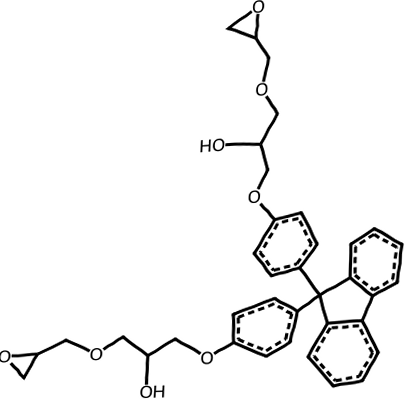 OC(COCC1CO1)COc1ccc(C2(c3ccc(OCC(O)COCC4CO4)cc3)c3ccccc3-c3ccccc32)cc1